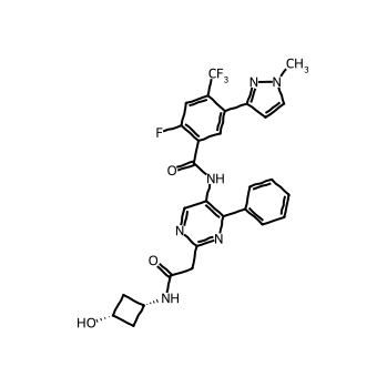 Cn1ccc(-c2cc(C(=O)Nc3cnc(CC(=O)N[C@H]4C[C@@H](O)C4)nc3-c3ccccc3)c(F)cc2C(F)(F)F)n1